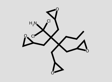 CCCC(CC1CO1)(CC1CO1)C(CC1CO1)(CC1CO1)C(N)(Cl)Cl